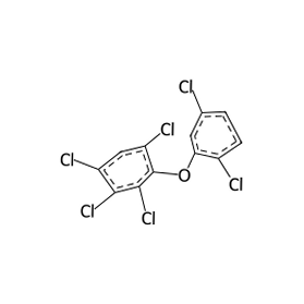 Clc1ccc(Cl)c(Oc2c(Cl)cc(Cl)c(Cl)c2Cl)c1